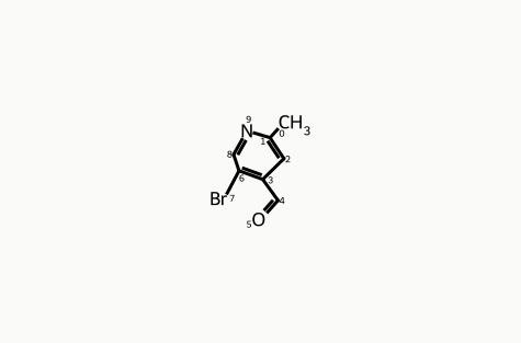 Cc1cc(C=O)c(Br)cn1